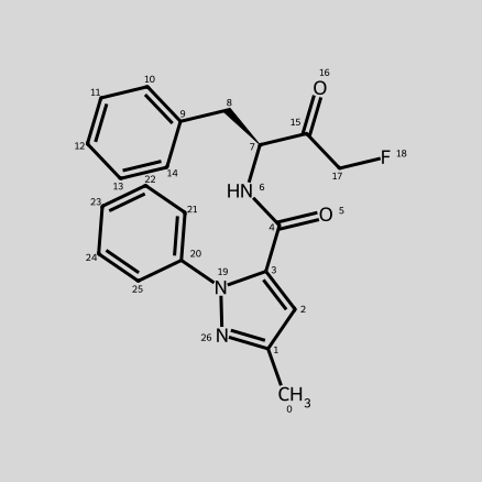 Cc1cc(C(=O)N[C@@H](Cc2ccccc2)C(=O)CF)n(-c2ccccc2)n1